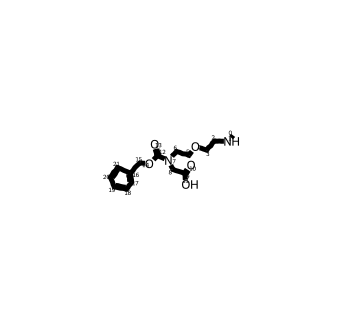 CNCCOCCN(CC(=O)O)C(=O)OCc1ccccc1